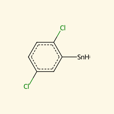 Clc1ccc(Cl)[c]([SnH])c1